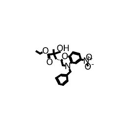 CCOC(=O)C(C)(CO)C[C@H]1CN(Cc2ccccc2)c2cc([N+](=O)[O-])ccc2O1